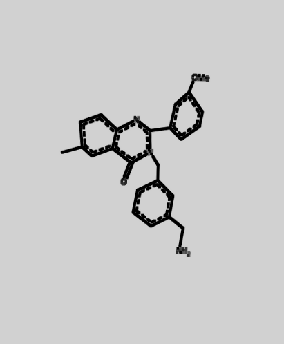 COc1cccc(-c2nc3ccc(C)cc3c(=O)n2Cc2cccc(CN)c2)c1